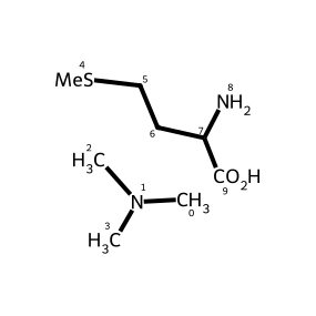 CN(C)C.CSCCC(N)C(=O)O